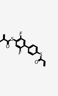 C=CC(=O)Sc1ccc(-c2cc(F)c(SC(=O)C(=C)C)cc2F)cc1